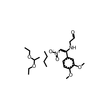 CCCC.CCOC(C)OCC.COc1ccc(/C(=C\[N+](=O)[O-])NCC=O)cc1OC